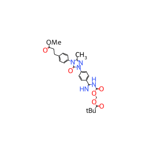 COC(=O)CCc1ccc(-n2c(C)nn(-c3ccc(C(=N)NC(=O)OCOC(=O)C(C)(C)C)cc3)c2=O)cc1